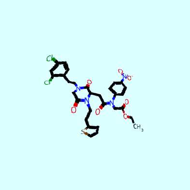 CCOC(=O)CN(C(=O)CC1C(=O)N(CCc2ccc(Cl)cc2Cl)CC(=O)N1CCc1cccs1)c1ccc([N+](=O)[O-])cc1